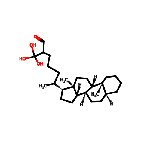 CC(CCCC(C=O)C(O)(O)O)[C@H]1CC[C@H]2[C@@H]3CC[C@@H]4CCCC[C@]4(C)[C@H]3CC[C@]12C